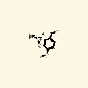 COc1ccc(C=O)cc1.O=S([O-])O.[Na+]